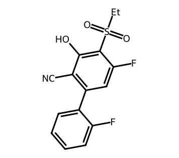 CCS(=O)(=O)c1c(F)cc(-c2ccccc2F)c(C#N)c1O